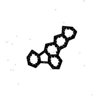 c1ccc2c(c1)-c1cccc3c1c-2cc1cc2ccccc2cc13